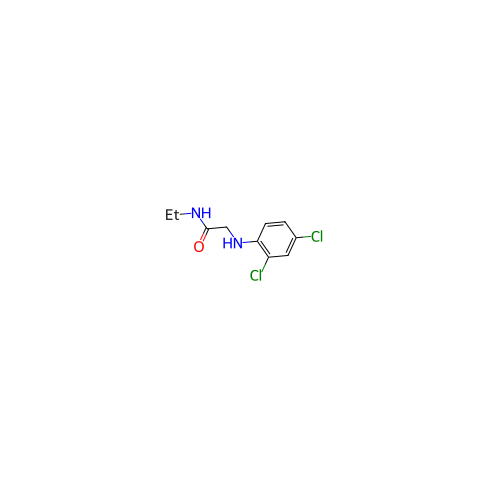 CCNC(=O)CNc1ccc(Cl)cc1Cl